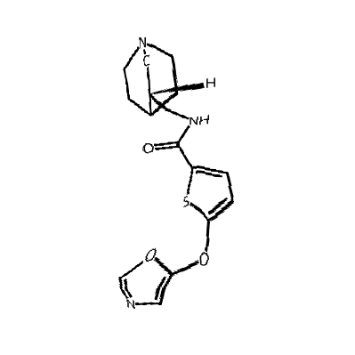 O=C(N[C@H]1CN2CCC1CC2)c1ccc(Oc2cnco2)s1